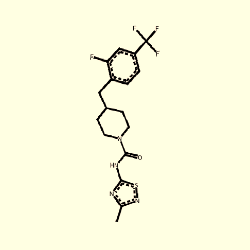 Cc1nsc(NC(=O)N2CCC(Cc3ccc(C(F)(F)F)cc3F)CC2)n1